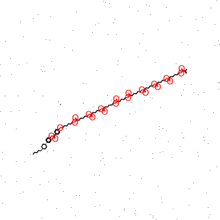 C=C(C)C(=O)OCCCCCC(=O)OCCCCC(=O)OCCCCC(=O)OCCCCCC(=O)OCCCCC(=O)OCCCCCC(=O)OCCCCC(=O)OCCCCCC(=O)OCCCCCCOc1ccc(C(=O)Oc2ccc([C@H]3CC[C@H](CCCCC)CC3)cc2)cc1